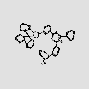 N#Cc1cccc(-c2cccc(-c3nc(-c4ccccc4)nc(-c4cccc(-c5ccc6c(c5)-c5ccccc5C65c6ccccc6-c6ccccc65)c4)n3)c2)c1